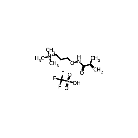 C=C(C)C(=O)NOCCC[N+](C)(C)C.O=S(=O)(O)C(F)(F)F